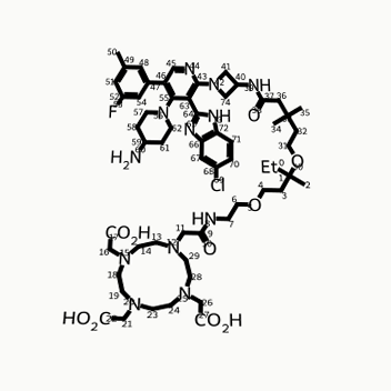 CCC(C)(CCOCCNC(=O)CN1CCN(CC(=O)O)CCN(CC(=O)O)CCN(CC(=O)O)CC1)OCCC(C)(C)CC(=O)NC1CN(c2ncc(-c3cc(C)cc(F)c3)c(N3CCC(N)CC3)c2-c2nc3cc(Cl)ccc3[nH]2)C1